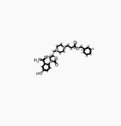 N=C(N)c1cc(O)ccc1N1C[C@H](CN2CCN(CCC(=O)OCc3ccccc3)CC2)OC1=O